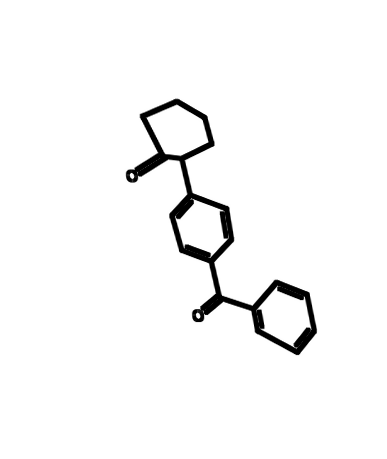 O=C(c1ccccc1)c1ccc(C2CCCCC2=O)cc1